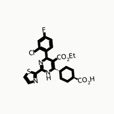 CCOC(=O)C1=C([C@H]2CC[C@H](C(=O)O)CC2)NC(c2nccs2)=NC1c1ccc(F)cc1Cl